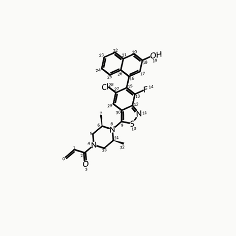 C=CC(=O)N1C[C@@H](C)N(c2snc3c(F)c(-c4cc(O)cc5ccccc45)c(Cl)cc23)[C@@H](C)C1